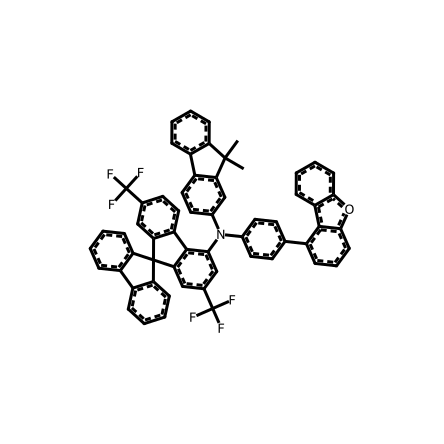 CC1(C)c2ccccc2-c2ccc(N(c3ccc(-c4cccc5oc6ccccc6c45)cc3)c3cc(C(F)(F)F)cc4c3-c3ccc(C(F)(F)F)cc3C43c4ccccc4-c4ccccc43)cc21